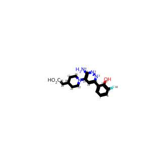 Nc1nnc(-c2cccc(F)c2O)cc1N1CCC(CC(=O)O)CC1